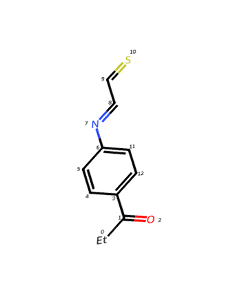 CCC(=O)c1ccc(N=CC=S)cc1